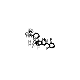 CC(C)S(=O)(=O)Nc1cccc([C@@]23CC[C@@H](c4cc(-c5c(F)cccc5F)nnc42)C3(C)C)n1